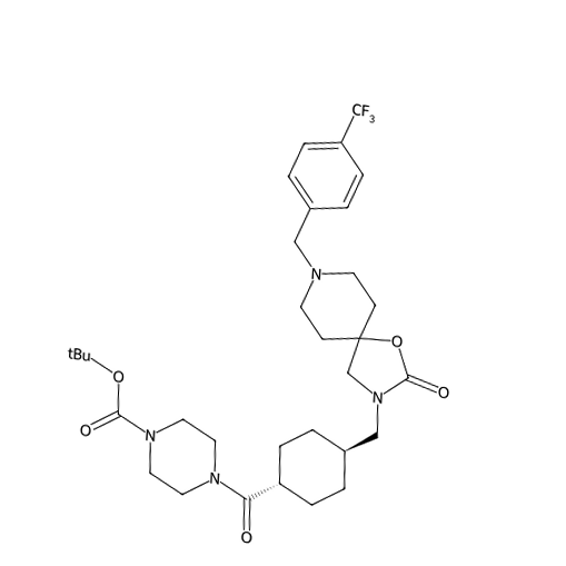 CC(C)(C)OC(=O)N1CCN(C(=O)[C@H]2CC[C@H](CN3CC4(CCN(Cc5ccc(C(F)(F)F)cc5)CC4)OC3=O)CC2)CC1